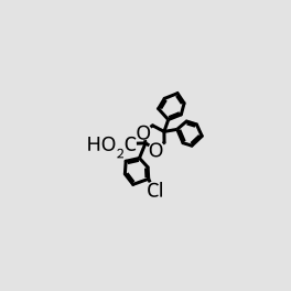 O=C(O)C1(c2cccc(Cl)c2)OCC(c2ccccc2)(c2ccccc2)CO1